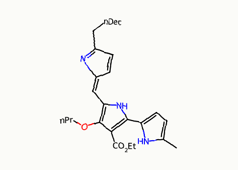 CCCCCCCCCCCC1=N/C(=C/c2[nH]c(-c3ccc(C)[nH]3)c(C(=O)OCC)c2OCCC)C=C1